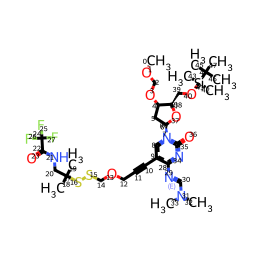 COCOC1C[C@H](n2cc(C#CCOCSSC(C)(C)CNC(=O)C(F)(F)F)c(/N=C/N(C)C)nc2=O)O[C@@H]1CO[Si](C)(C)C(C)(C)C